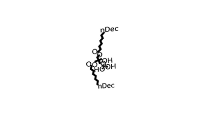 CCCCCCCCCCCCCCCCCC(=O)OCC(CO)(COC(=O)CCCCCCCCCCCCCCCCC)COP(O)O